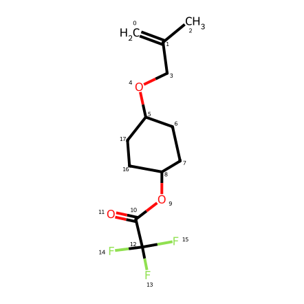 C=C(C)COC1CCC(OC(=O)C(F)(F)F)CC1